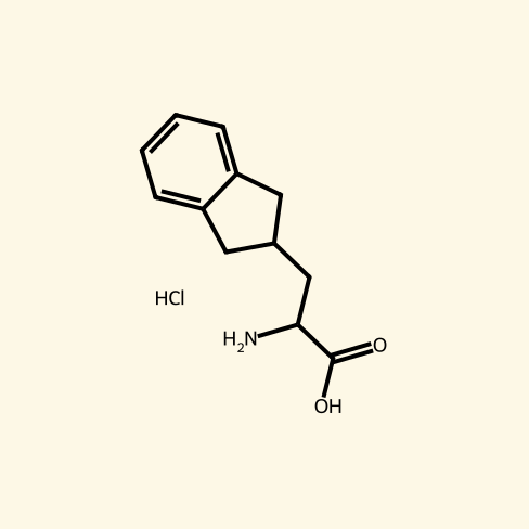 Cl.NC(CC1Cc2ccccc2C1)C(=O)O